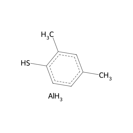 Cc1ccc(S)c(C)c1.[AlH3]